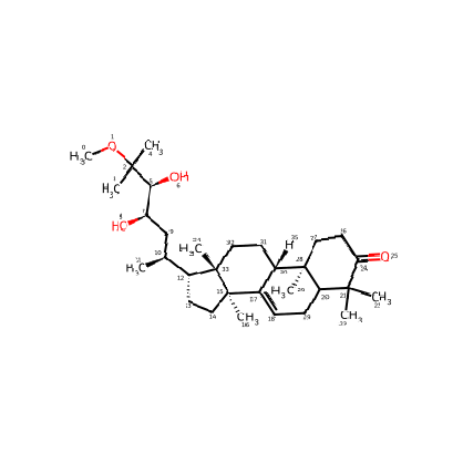 COC(C)(C)[C@@H](O)[C@H](O)C[C@H](C)[C@H]1CC[C@]2(C)C3=CCC4C(C)(C)C(=O)CC[C@]4(C)[C@H]3CC[C@@]12C